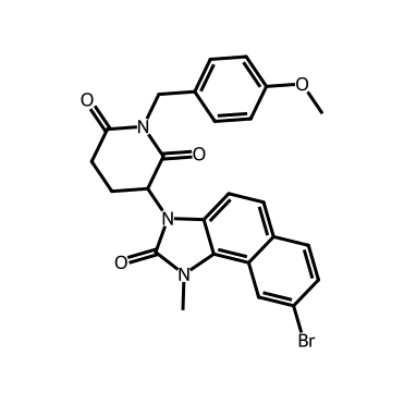 COc1ccc(CN2C(=O)CCC(n3c(=O)n(C)c4c5cc(Br)ccc5ccc43)C2=O)cc1